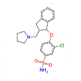 NS(=O)(=O)c1ccc(OC2c3ccccc3CC2CN2CCCC2)c(Cl)c1